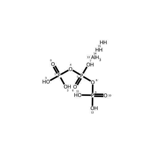 O=P(O)(O)OP(=O)(O)OP(=O)(O)O.[AlH3].[HH].[HH]